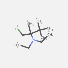 CCN(CC)C([SiH3])(CCl)C(C)(C)C